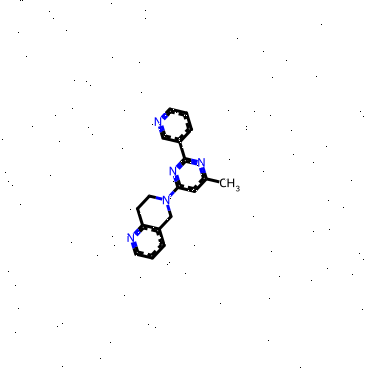 Cc1cc(N2CCc3ncccc3C2)nc(-c2cccnc2)n1